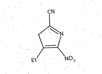 CCC1=C([N+](=O)[O-])N=C(C#N)C1